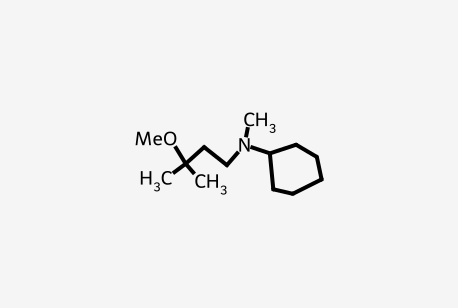 COC(C)(C)CCN(C)C1CCCCC1